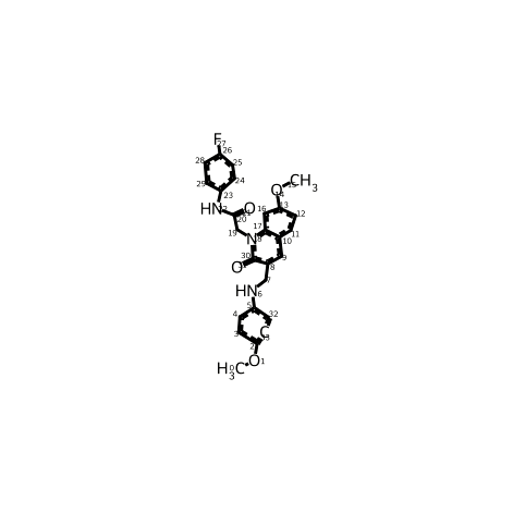 COc1ccc(NCc2cc3ccc(OC)cc3n(CC(=O)Nc3ccc(F)cc3)c2=O)cc1